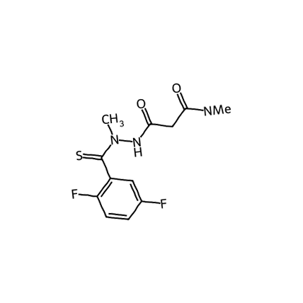 CNC(=O)CC(=O)NN(C)C(=S)c1cc(F)ccc1F